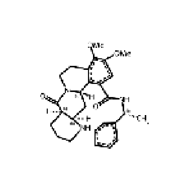 COc1cc(C(=O)N[C@H](C)c2ccccc2)c2c(c1OC)CCN1C(=O)[C@@H]3CCCN[C@@H]3C[C@@H]21